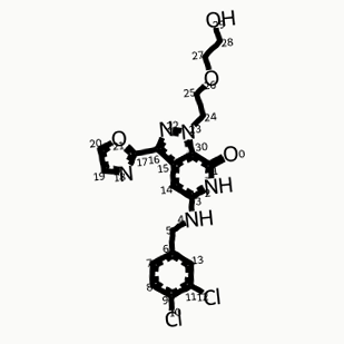 O=c1[nH]c(NCc2ccc(Cl)c(Cl)c2)cc2c(-c3ncco3)nn(CCOCCO)c12